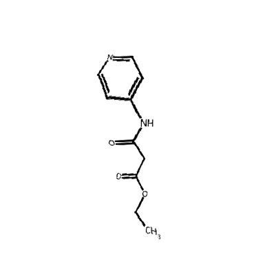 CCOC(=O)CC(=O)Nc1ccncc1